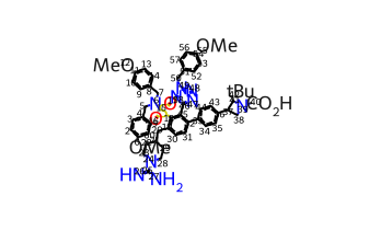 COc1ccc(CN(Cc2ccc(OC)cc2)S(=O)(=O)c2c(CC3CCN(C(=N)N)CC3)ccc(-c3ccc(C4CN(C(=O)O)C4C(C)(C)C)cc3)c2-c2nnn(Cc3ccc(OC)cc3)n2)cc1